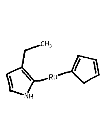 CCc1cc[nH][c]1[Ru][C]1=CC=CC1